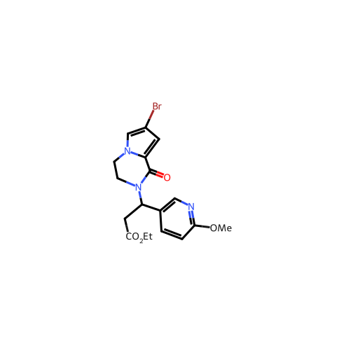 CCOC(=O)CC(c1ccc(OC)nc1)N1CCn2cc(Br)cc2C1=O